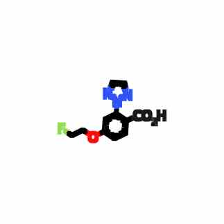 O=C(O)c1ccc(OCCF)cc1-n1nccn1